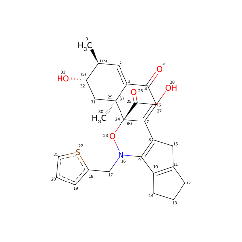 C[C@H]1C=C2C(=O)C=C3C4=C(C5=C(CCC5)C4)N(Cc4cccs4)O[C@]3(C(=O)CO)[C@@]2(C)C[C@@H]1O